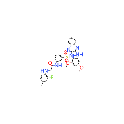 COc1cc(Nc2nc3ccccc3nc2NS(=O)(=O)c2cccc(NC(=O)CNc3ccc(C)cc3F)c2)cc(OC)c1